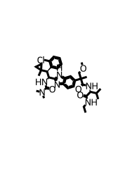 CCNC(=O)[C@H](NC(=O)C(C)(COC)c1ccc2nc([C@@H](NC(=O)N(C)C)[C@H](c3ccccc3Cl)C3(C)CC3)[nH]c2c1)C(C)C